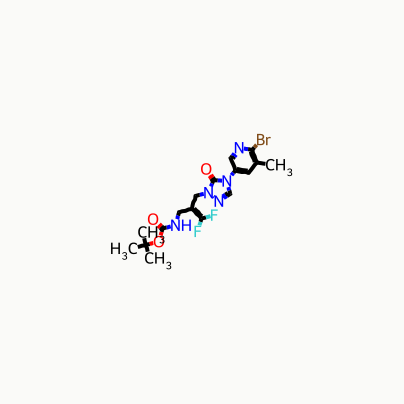 Cc1cc(-n2cnn(CC(CNC(=O)OC(C)(C)C)=C(F)F)c2=O)cnc1Br